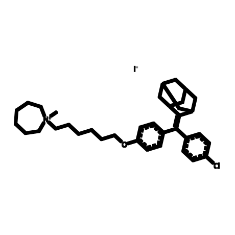 C[N+]1(CCCCCCOc2ccc(C(=C3C4CC5CC(C4)CC3C5)c3ccc(Cl)cc3)cc2)CCCCCC1.[I-]